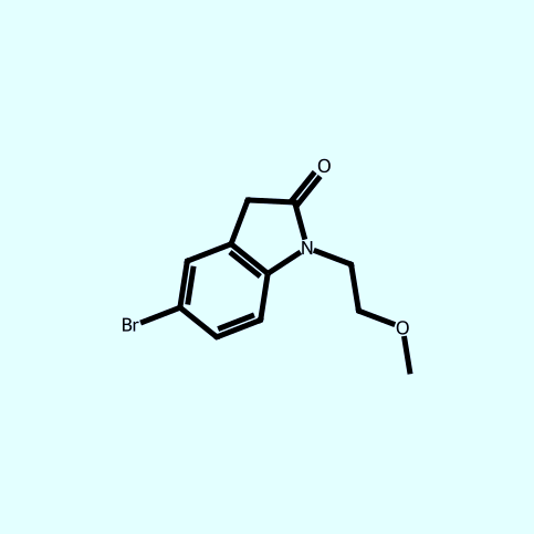 COCCN1C(=O)Cc2cc(Br)ccc21